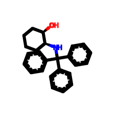 O[C@@H]1CCCC[C@@H]1NC(c1ccccc1)(c1ccccc1)c1ccccc1